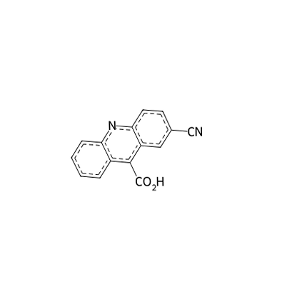 N#Cc1ccc2nc3ccccc3c(C(=O)O)c2c1